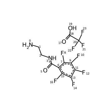 NCCNC(=O)c1c(F)c(F)c(F)c(F)c1F.O=C(O)C(F)(F)F